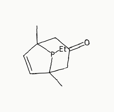 CCP1C2(C)C=CC1(C)CC(=O)C2